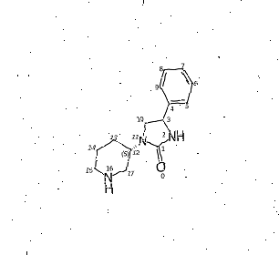 O=C1NC(c2ccccc2)CN1[C@H]1CCCNC1